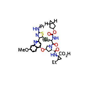 CCC1C[C@]1(NC(=O)[C@@H]1C[C@@H](Oc2cc(C3N=C(NC(C)C)SC3Cl)nc3cc(OC)ccc23)CN1C(=O)C(NC(=O)O[C@@H]1C[C@@H]2C[C@@H]2C1)C(C)(C)C)C(=O)O